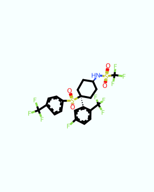 O=S(=O)(N[C@H]1CC[C@@](c2cc(F)ccc2C(F)(F)F)(S(=O)(=O)c2ccc(C(F)(F)F)cc2)CC1)C(F)(F)F